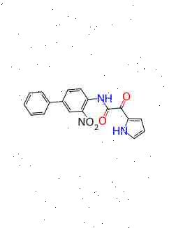 O=C(Nc1ccc(-c2ccccc2)cc1[N+](=O)[O-])C(=O)c1ccc[nH]1